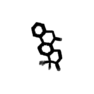 CC1(F)C(=O)C=Cc2c1ccc1c2C(=O)Cc2ccccc2-1